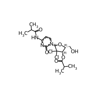 CC(C)C(=O)Nc1ccn([C@@H]2O[C@H](CO)[C@@H](OC(=O)C(C)C)C2(Cl)Cl)c(=O)n1